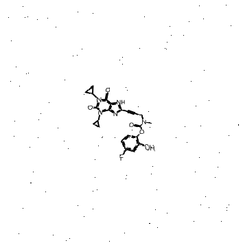 CN(CC#Cc1nc2c([nH]1)c(=O)n(C1CC1)c(=O)n2C1CC1)C(=O)Oc1ccc(F)cc1O